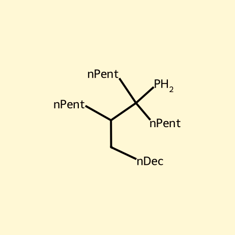 CCCCCCCCCCCC(CCCCC)C(P)(CCCCC)CCCCC